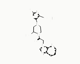 CC1CN(c2sc(C(F)(F)F)nc2C(=O)O)CCN1C(=O)Cn1cnc2cccnc21